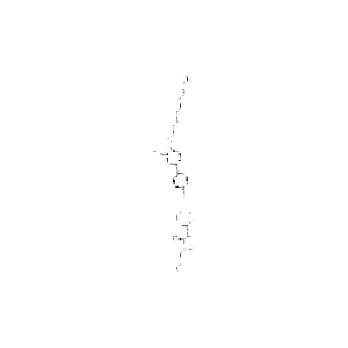 CCCCCCCCCCOc1ccc(-c2ccc(CC[C@H]3CC[C@H](OC(=O)[C@@H](F)CCCC)CC3)cc2)cc1Cl